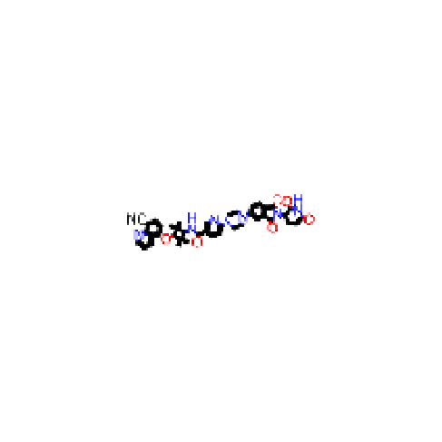 CC1(C)C(NC(=O)c2ccc(N3CCN(c4ccc5c(c4)C(=O)N(C4CCC(=O)NC4=O)C5=O)CC3)nc2)C(C)(C)C1Oc1ccc(C#N)c2ncccc12